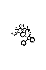 CC1C(=O)N(C)c2ccc(N3C(=O)c4ccccc4C3c3ccccc3)nc2N1CC(F)(F)F